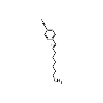 CCCCCCC/C=C/c1[c]cc(C#N)cc1